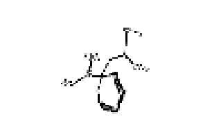 CC(C)CC1(B(O)O)C=CC=CC1